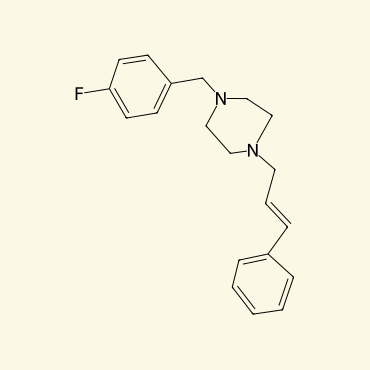 Fc1ccc(CN2CCN(CC=Cc3ccccc3)CC2)cc1